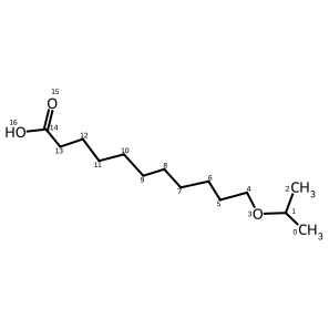 CC(C)OCCCCCCCCCCC(=O)O